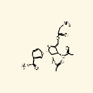 CC(=O)O[C@@H]1[C@H](OC(C)=O)C(COC(=O)CN)O[C@H]1N1C=CCC(C(N)=O)=C1